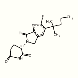 CCCC(C)(C)c1cc2c(cc1F)C(=O)N([C@H]1CCC(=O)NC1=O)C2